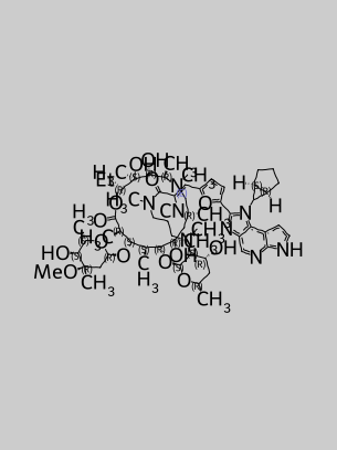 CC[C@H]1OC(=O)[C@H](C)[C@@H](O[C@H]2C[C@@](C)(OC)[C@@H](O)[C@H](C)O2)[C@H](C)[C@@H](O[C@@H]2O[C@H](C)C[C@@H](O)[C@@H]2N(C)CCCN(C)C(=O)/C(C#N)=C/c2ccc(-c3nc4cnc5[nH]ccc5c4n3C3[C@H]4CCC[C@@H]34)o2)[C@](C)(O)C[C@@H](C)CN(C)[C@H](C)[C@@H](O)[C@]1(C)O